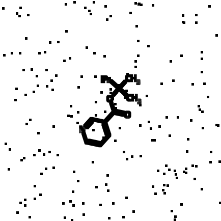 CC(C)C(C)(C)OC(=O)c1cccnc1